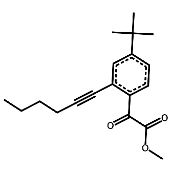 CCCCC#Cc1cc(C(C)(C)C)ccc1C(=O)C(=O)OC